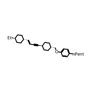 CCCCCc1ccc(OC[C@H]2CC[C@H](C#C/C=C/[C@H]3CC[C@H](CC)CC3)CC2)cc1